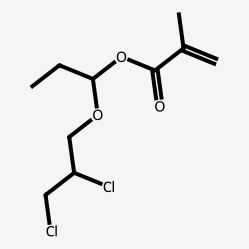 C=C(C)C(=O)OC(CC)OCC(Cl)CCl